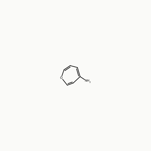 NC1=CC=COC=C1